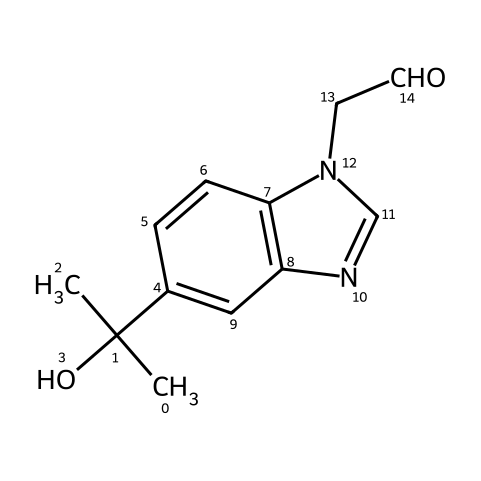 CC(C)(O)c1ccc2c(c1)ncn2CC=O